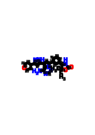 CC1(C)OC(=O)NC1c1cccc(-c2cc(-c3cc(C4CCOCC4)n[nH]3)c3c(N)ncnn23)c1